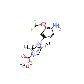 CC(C)(C)OC(=O)N1C[C@H]2C[C@@H]1CN2c1ccc(N)c(OC(F)F)c1